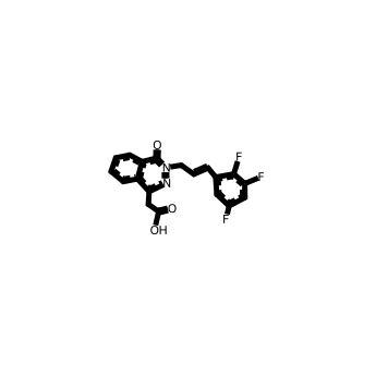 O=C(O)Cc1nn(C/C=C/c2cc(F)cc(F)c2F)c(=O)c2ccccc12